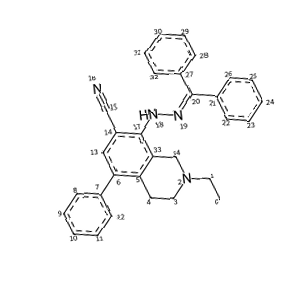 CCN1CCc2c(-c3ccccc3)cc(C#N)c(NN=C(c3ccccc3)c3ccccc3)c2C1